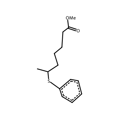 COC(=O)CCCCC(C)Sc1ccccc1